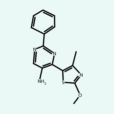 COc1nc(C)c(-c2nc(-c3ccccc3)ncc2N)s1